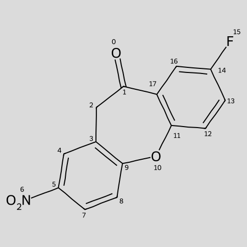 O=C1Cc2cc([N+](=O)[O-])ccc2Oc2ccc(F)cc21